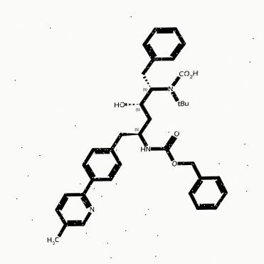 Cc1ccc(-c2ccc(C[C@@H](C[C@H](O)[C@H](Cc3ccccc3)N(C(=O)O)C(C)(C)C)NC(=O)OCc3ccccc3)cc2)nc1